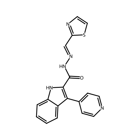 O=C(NN=Cc1nccs1)c1[nH]c2ccccc2c1-c1ccncc1